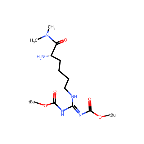 CN(C)C(=O)[C@@H](N)CCCCN/C(=N\C(=O)OC(C)(C)C)NC(=O)OC(C)(C)C